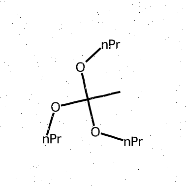 CCCOC(C)(OCCC)OCCC